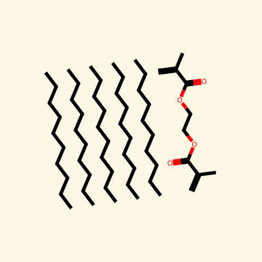 C=C(C)C(=O)OCCOC(=O)C(=C)C.CCCCCCCCCC.CCCCCCCCCC.CCCCCCCCCC.CCCCCCCCCC.CCCCCCCCCC